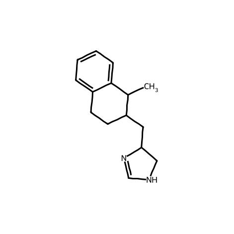 CC1c2ccccc2CCC1CC1CNC=N1